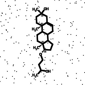 CC(O)CCO[C@H]1CCC2C3CC=C4C[C@@](C)(O)CC[C@]4(C)C3CC[C@@]21C